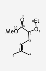 CCOC(CC=C(C)C)C(=O)OC